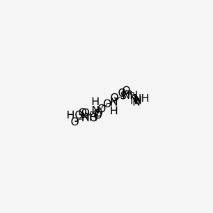 CC(C)(CC(C)(C)c1nnn[nH]1)C(=O)N[S+]([O-])CCCC(=O)NCCOCCOCC(=O)NC(CCC(=O)NC(CCC=O)C(=O)O)C(=O)O